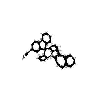 N#Cc1ccc2c(c1)C1(c3ccccc3-2)c2ccccc2-n2c3ccc4ccccc4c3c3cccc1c32